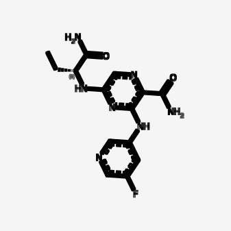 CC[C@@H](Nc1cnc(C(N)=O)c(Nc2cncc(F)c2)n1)C(N)=O